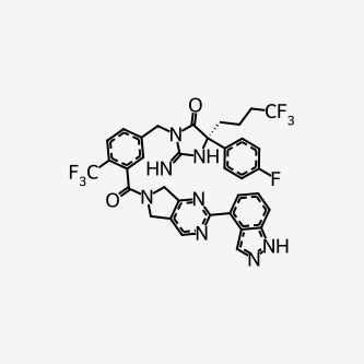 N=C1N[C@](CCCC(F)(F)F)(c2ccc(F)cc2)C(=O)N1Cc1ccc(C(F)(F)F)c(C(=O)N2Cc3cnc(-c4cccc5[nH]ncc45)nc3C2)c1